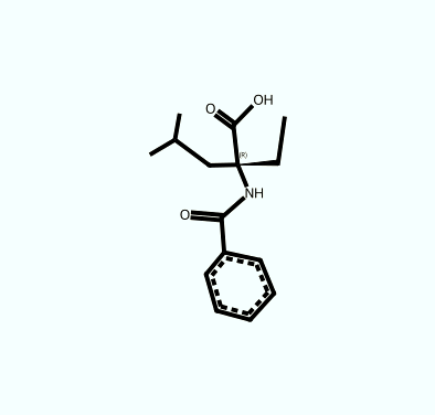 CC[C@](CC(C)C)(NC(=O)c1ccccc1)C(=O)O